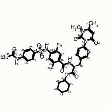 Cc1cc(=O)n(-c2ccc(C[C@H](NC(=O)c3cc(F)c(NS(=O)(=O)c4ccc(NC(=O)C(C)(C)C)cc4)cc3F)C(=O)OC3CCCCC3)cn2)c(=O)n1C